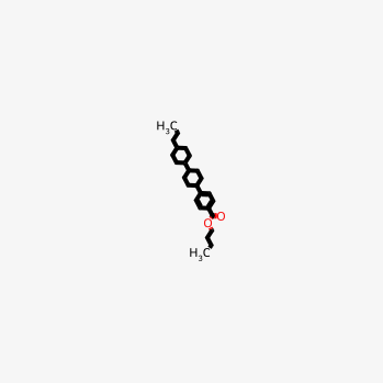 CCCCOC(=O)c1ccc(C2CCC(C3CCC(CCC)CC3)CC2)cc1